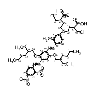 CCCCC(CC)COc1cc(/N=N/c2ccc([N+](=O)[O-])cc2[N+](=O)[O-])c(OCC(CC)CCCC)cc1/N=N/c1ccc(N(CCC(CCl)C(=O)O)CCC(CCl)C(=O)O)cc1C